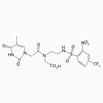 Cc1cn(CC(=O)N(CCNS(=O)(=O)c2ccc(C(F)(F)F)cc2[N+](=O)[O-])CC(=O)O)c(=O)[nH]c1=O